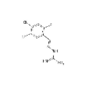 N=C(N)NN=Cc1cc(Cl)c(Cl)cc1F